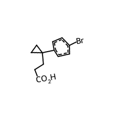 O=C(O)CCC1(c2ccc(Br)cc2)CC1